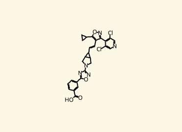 O=C(O)c1cccc(-c2nc(N3CC4C(C=Cc5c(-c6c(Cl)cncc6Cl)noc5C5CC5)C4C3)no2)c1